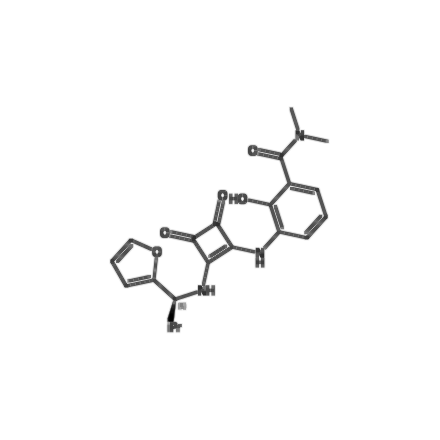 CC(C)[C@H](Nc1c(Nc2cccc(C(=O)N(C)C)c2O)c(=O)c1=O)c1ccco1